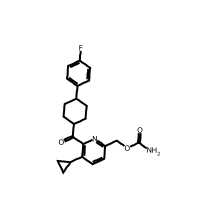 NC(=O)OCc1ccc(C2CC2)c(C(=O)C2CCC(c3ccc(F)cc3)CC2)n1